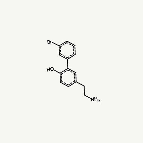 NCCc1ccc(O)c(-c2cccc(Br)c2)c1